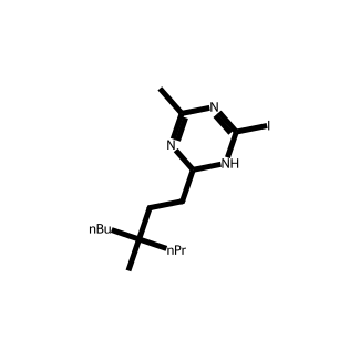 CCCCC(C)(CCC)CCC1N=C(C)N=C(I)N1